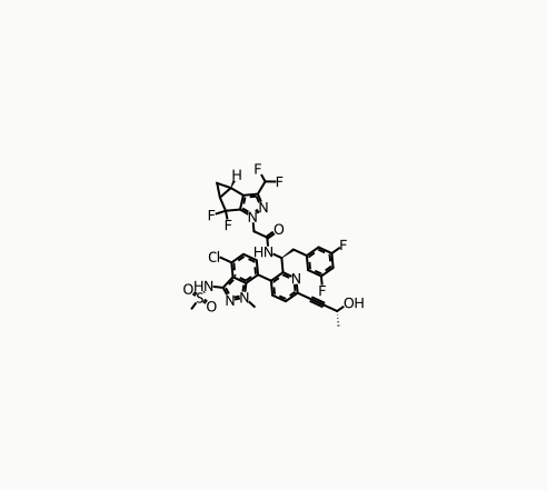 C[C@@H](O)C#Cc1ccc(-c2ccc(Cl)c3c(NS(C)(=O)=O)nn(C)c23)c([C@H](Cc2cc(F)cc(F)c2)NC(=O)Cn2nc(C(F)F)c3c2C(F)(F)C2C[C@H]32)n1